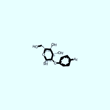 CC(=O)c1ccc(O[C@@H]2[C@@H](O)[C@@H](O)[C@@H](CO)O[C@H]2S)cc1